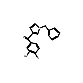 CC(C)(C)c1cc(C(=O)c2ccn(Cc3ccccc3)c2)ccc1O